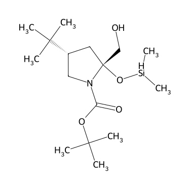 C[SiH](C)O[C@@]1(CO)C[C@@H](C(C)(C)C)CN1C(=O)OC(C)(C)C